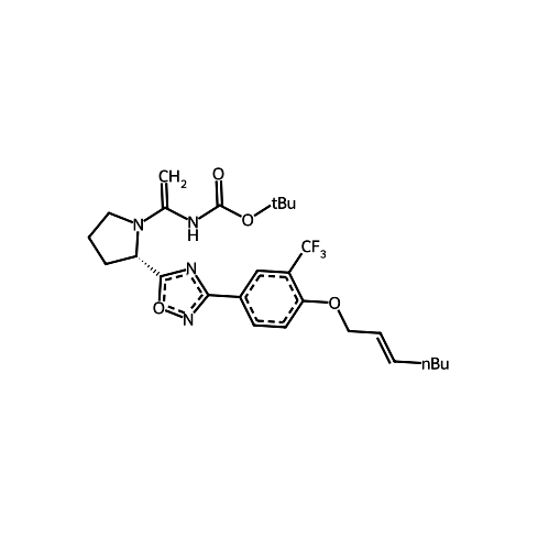 C=C(NC(=O)OC(C)(C)C)N1CCC[C@H]1c1nc(-c2ccc(OC/C=C/CCCC)c(C(F)(F)F)c2)no1